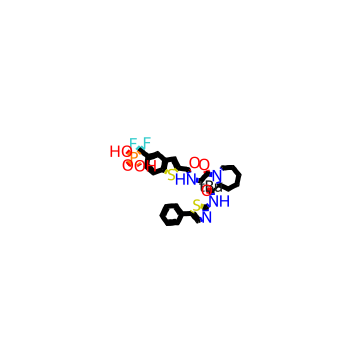 CC(C)(C)[C@H](NC(=O)c1cc2cc(C(F)(F)P(=O)(O)O)ccc2s1)C(=O)N1CCCCC[C@H]1C(=O)Nc1ncc(-c2ccccc2)s1